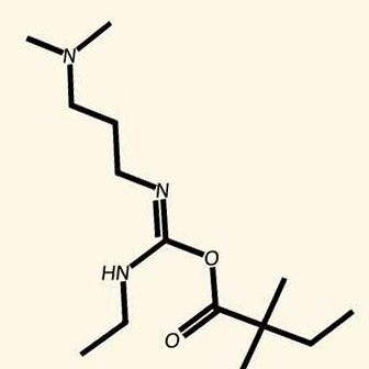 CCN/C(=N\CCCN(C)C)OC(=O)C(C)(C)CC